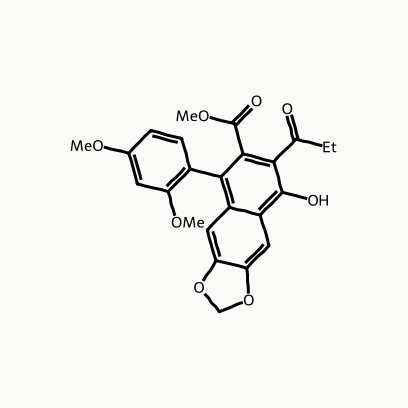 CCC(=O)c1c(C(=O)OC)c(-c2ccc(OC)cc2OC)c2cc3c(cc2c1O)OCO3